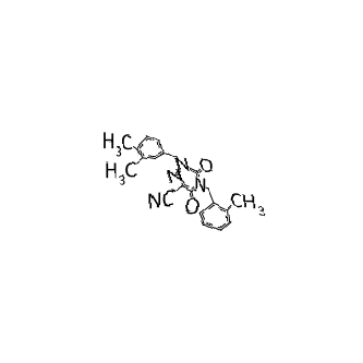 Cc1ccc(Cn2nc(C#N)c(=O)n(Cc3ccccc3C)c2=O)cc1C